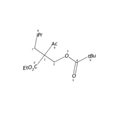 CCOC(=O)C(COC(=O)C(C)(C)C)(CC(C)C)C(C)=O